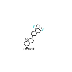 CCCCC[C@@H]1CC[C@@H]2CC(c3ccc4c(F)c(C(F)(F)F)c(F)cc4c3)CCC2C1